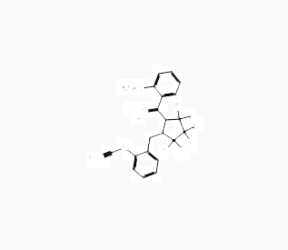 C#CSc1ccccc1CC1C(C(=C)c2ccccc2SC)C(F)(F)C(F)(F)C1(F)F